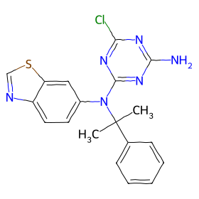 CC(C)(c1ccccc1)N(c1ccc2ncsc2c1)c1nc(N)nc(Cl)n1